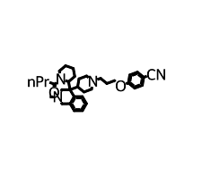 CCCC(=O)N1CCCCC1C1(C2CCN(CCCOc3ccc(C#N)cc3)CC2)CN(C)Cc2ccccc21